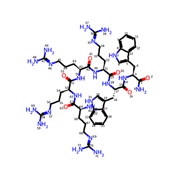 NC(=O)[C@H](Cc1c[nH]c2ccccc12)NC(=O)[C@H](Cc1c[nH]c2ccccc12)NC(=O)[C@H](CCCN=C(N)N)NC(=O)[C@H](CCCN=C(N)N)NC(=O)[C@H](CCCN=C(N)N)NC(=O)[C@@H](N)CCCN=C(N)N